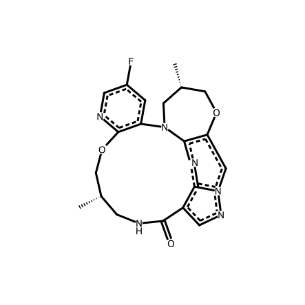 C[C@@H]1COc2cn3ncc4c3nc2N(C1)c1cc(F)cnc1OC[C@@H](C)CNC4=O